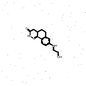 O=C1CC2CCc3cc(NCCO)ccc3C2=NN1